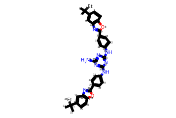 CCC(C)(C)c1ccc2oc(-c3ccc(Nc4nc(N)nc(Nc5ccc(-c6nc7cc(C(C)(C)CC)ccc7o6)cc5)n4)cc3)nc2c1